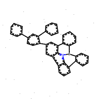 c1ccc(-c2ccc(-c3cc4c5c(c3)c3cccc6c3n5B(c3ccccc3-6)c3ccccc3-4)c(-c3ccccc3)c2)cc1